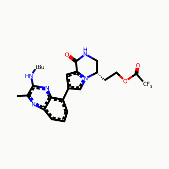 Cc1nc2cccc(-c3cc4n(c3)[C@@H](CCOC(=O)C(F)(F)F)CNC4=O)c2nc1NC(C)(C)C